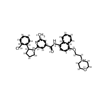 Cc1cc(C(=O)Nc2ccc(OCCN3CCOCC3)c3ccccc23)cc(N2CCCC2c2ccccc2Cl)n1